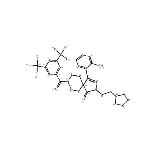 Cc1ccccc1C1=CN(CCN2CCCC2)C(=O)C12CCN(C(=O)c1cc(C(F)(F)F)cc(C(F)(F)F)c1)CC2